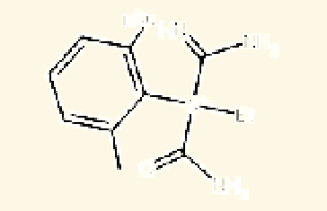 CCCCc1cccc(C)c1[N+](CC)(C(=N)N)C(N)=O